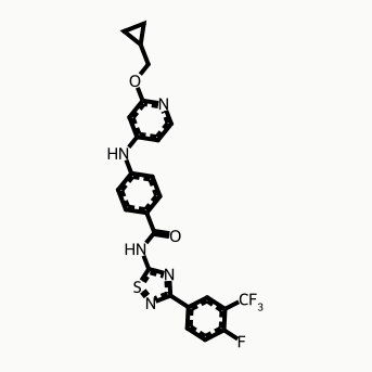 O=C(Nc1nc(-c2ccc(F)c(C(F)(F)F)c2)ns1)c1ccc(Nc2ccnc(OCC3CC3)c2)cc1